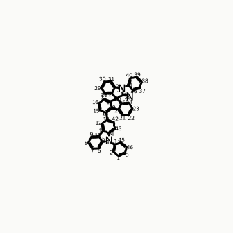 c1ccc(-n2c3ccccc3c3cc(-c4cccc5c4-c4ccccc4C54c5ccccc5-n5c4nc4ccccc45)ccc32)cc1